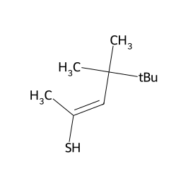 C/C(S)=C\C(C)(C)C(C)(C)C